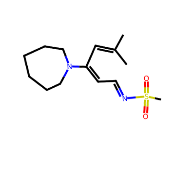 CC(C)=C/C(=C\C=N\S(C)(=O)=O)N1CCCCCC1